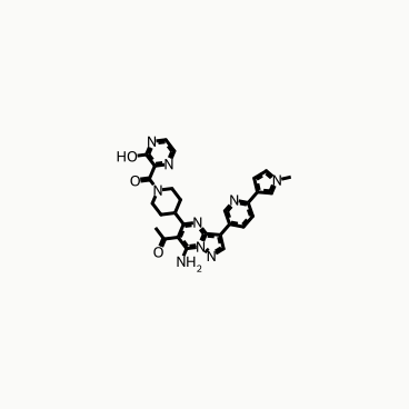 CC(=O)c1c(C2CCN(C(=O)c3nccnc3O)CC2)nc2c(-c3ccc(-c4ccn(C)c4)nc3)cnn2c1N